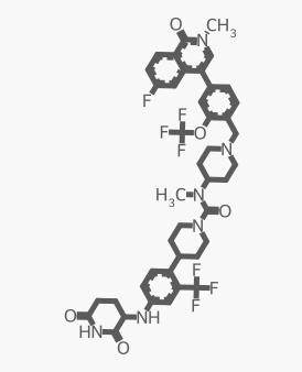 CN(C(=O)N1CCC(c2ccc(NC3CCC(=O)NC3=O)cc2C(F)(F)F)CC1)C1CCN(Cc2ccc(-c3cn(C)c(=O)c4ccc(F)cc34)cc2OC(F)(F)F)CC1